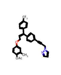 CC(=O)Oc1ccc(OC/C=C(\c2ccc(C#CCn3cccn3)cc2)c2ccc(C(F)(F)F)cc2)cc1C